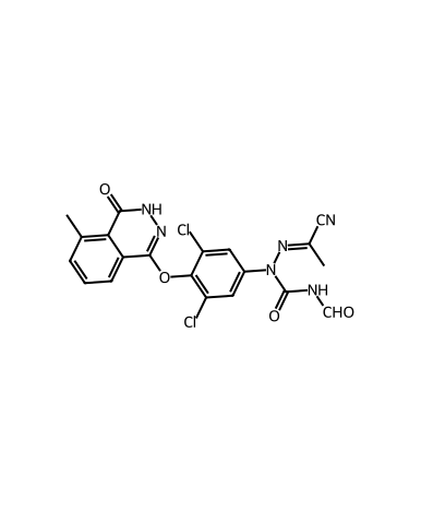 C/C(C#N)=N\N(C(=O)NC=O)c1cc(Cl)c(Oc2n[nH]c(=O)c3c(C)cccc23)c(Cl)c1